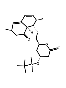 C[C@H]1C=C2C=C[C@H](C)[C@H](CC[C@@H]3C[C@@H](O[Si](C)(C)C(C)(C)C)CC(=O)O3)[C@H]2C(=O)C1